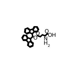 N[C@@H](CCC(=O)OC(C1c2ccccc2-c2ccccc21)C1c2ccccc2-c2ccccc21)C(=O)O